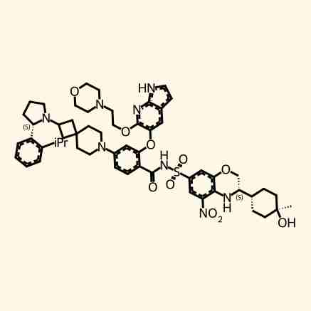 CC(C)c1ccccc1[C@@H]1CCCN1C1CC2(CCN(c3ccc(C(=O)NS(=O)(=O)c4cc5c(c([N+](=O)[O-])c4)N[C@@H]([C@H]4CC[C@](C)(O)CC4)CO5)c(Oc4cc5cc[nH]c5nc4OCCN4CCOCC4)c3)CC2)C1